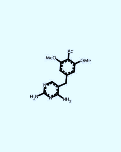 COc1cc(Cc2cnc(N)nc2N)cc(OC)c1C(C)=O